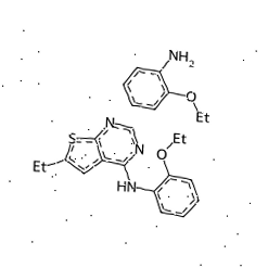 CCOc1ccccc1N.CCOc1ccccc1Nc1ncnc2sc(CC)cc12